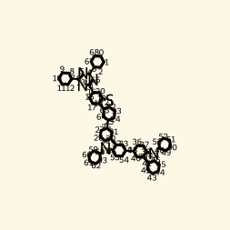 c1ccc(-c2nc(-c3ccccc3)nc(-c3ccc4c(c3)sc3ccc(-c5ccc6c(c5)c5cc(-c7ccc8c(c7)c7ccccc7n8-c7ccccc7)ccc5n6-c5ccccc5)cc34)n2)cc1